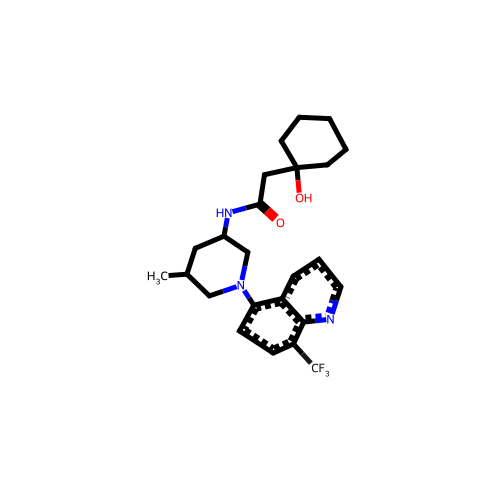 CC1CC(NC(=O)CC2(O)CCCCC2)CN(c2ccc(C(F)(F)F)c3ncccc23)C1